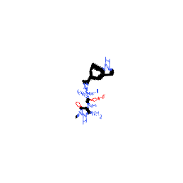 Cn1[nH]c(N)c(NCC(O)NNN2C=C2c2ccc3[nH]ccc3c2)c1=O